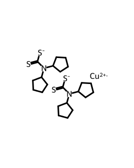 S=C([S-])N(C1CCCC1)C1CCCC1.S=C([S-])N(C1CCCC1)C1CCCC1.[Cu+2]